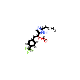 CCc1ncc(C(Cc2ccc(C(F)(F)F)cc2)OC=O)[nH]1